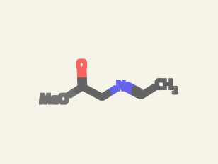 CC=NCC(=O)OC